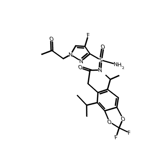 CC(=O)Cn1cc(F)c(S(N)(=O)=NC(=O)Cc2c(C(C)C)cc3c(c2C(C)C)OC(F)(F)O3)n1